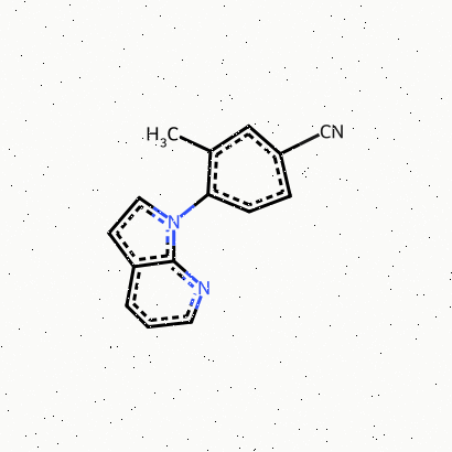 Cc1cc(C#N)ccc1-n1ccc2cccnc21